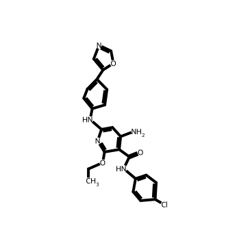 CCOc1nc(Nc2ccc(-c3cnco3)cc2)cc(N)c1C(=O)Nc1ccc(Cl)cc1